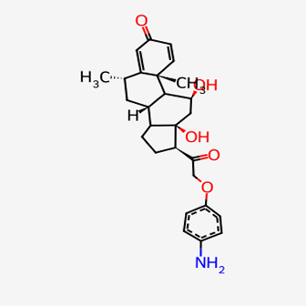 C[C@H]1C[C@@H]2C([C@@H](O)C[C@@]3(O)C2CC[C@@H]3C(=O)COc2ccc(N)cc2)[C@@]2(C)C=CC(=O)C=C12